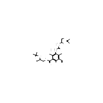 CC1(C)OCC(CNC(=O)c2c(I)c(C=O)c(I)c(NC(=O)NC3COC(C)(C)O3)c2I)O1